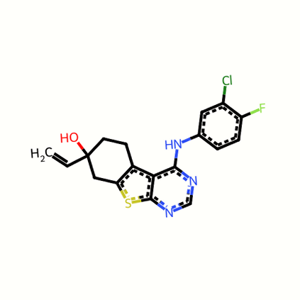 C=CC1(O)CCc2c(sc3ncnc(Nc4ccc(F)c(Cl)c4)c23)C1